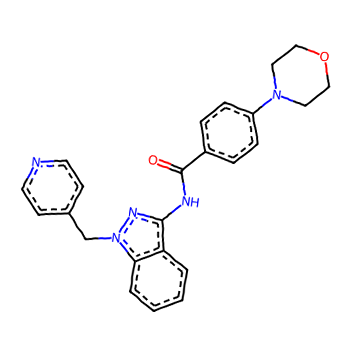 O=C(Nc1nn(Cc2ccncc2)c2ccccc12)c1ccc(N2CCOCC2)cc1